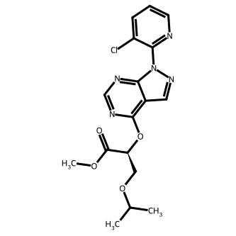 COC(=O)[C@H](COC(C)C)Oc1ncnc2c1cnn2-c1ncccc1Cl